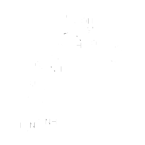 N=C(N)c1ccc2oc(C(=O)Nc3ccc(C[C@H](NC(=O)OCc4ccccc4)C(=O)O)cc3)cc2c1